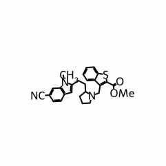 COC(=O)c1sc2ccccc2c1CN1CCCC1CCc1cc2ccc(C#N)cc2n1C